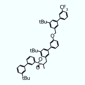 CC(Cc1cc(-c2cccc(OCc3cc(-c4cccc(C(F)(F)F)c4)cc(C(C)(C)C)c3)c2)cc(C(C)(C)C)c1)S(=O)(=O)c1cccc(-c2cccc(C(C)(C)C)c2)c1